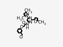 Cc1cc(C)n(-c2cc(NC(=O)COc3cccc(C=O)c3)nc(-c3ccc(C)o3)n2)n1